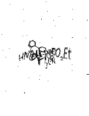 CCC[N+](C)(c1ccc(-c2ccccc2C(=N)NO)cc1)c1c(C(=O)OCC)cnn1C